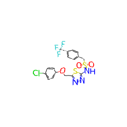 O=S(=O)(Cc1ccc(C(F)(F)F)cc1)Nc1nnc(COc2ccc(Cl)cc2)s1